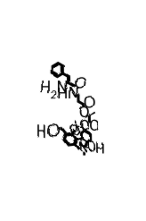 Cc1ccc(CO)c2c1[C@]13CCN(C)[C@H](C)[C@]1(O)CC=C(OC(=O)[C@H](C)OC(=O)CCNC(=O)[C@@H](N)Cc1ccccc1)[C@@H]3O2